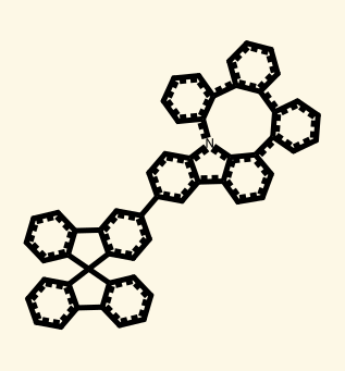 c1ccc2c(c1)-c1ccccc1C21c2ccccc2-c2cc(-c3ccc4c(c3)c3cccc5c6ccccc6c6ccccc6c6ccccc6n4c53)ccc21